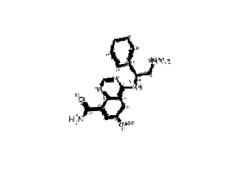 CNCC(Nc1ncnc2c(C(N)=O)cc(OC)cc12)c1ccccc1